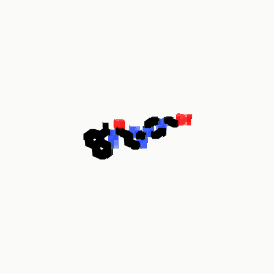 C[C@@H](NC(=O)c1ccnc(N2CCN(CCO)CC2)n1)c1cccc2ccccc12